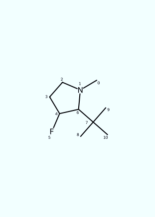 CN1CCC(F)C1C(C)(C)C